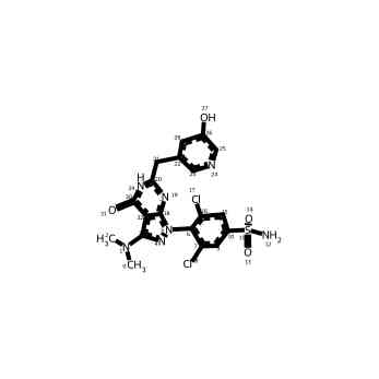 CN(C)c1nn(-c2c(Cl)cc(S(N)(=O)=O)cc2Cl)c2nc(Cc3cncc(O)c3)[nH]c(=O)c12